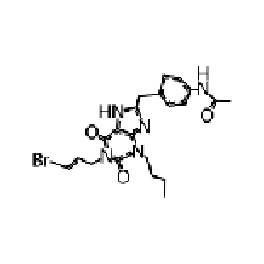 CCCCn1c(=O)n(C/C=C/Br)c(=O)c2[nH]c(Cc3ccc(NC(C)=O)cc3)nc21